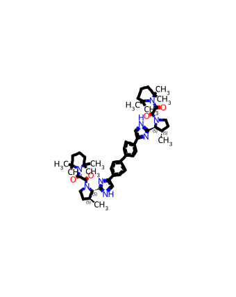 C[C@H]1CCN(C(=O)C(=O)N2C(C)(C)CCCC2(C)C)[C@@H]1c1nc(-c2ccc(-c3ccc(-c4c[nH]c([C@@H]5[C@@H](C)CCN5C(=O)C(=O)N5C(C)(C)CCCC5(C)C)n4)cc3)cc2)c[nH]1